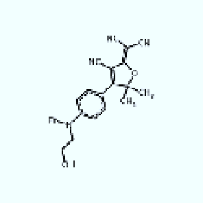 CCN(CCO)c1ccc(C2=C(C#N)C(=C(C#N)C#N)OC2(C)C)cc1